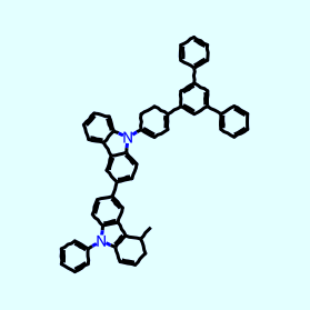 CC1CC=Cc2c1c1cc(-c3ccc4c(c3)c3ccccc3n4C3=CC=C(c4cc(-c5ccccc5)cc(-c5ccccc5)c4)CC3)ccc1n2-c1ccccc1